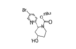 CC(C)(C)OC(=O)N1CCC(O)CC1c1ccc(Br)cn1